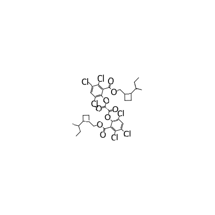 CCC(C)C1CCC1COC(=O)c1c(Cl)c(Cl)cc(Cl)c1OC(=O)C(=O)Oc1c(Cl)cc(Cl)c(Cl)c1C(=O)OCC1CCC1C(C)CC